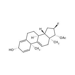 CC(=O)O[C@H]1[C@H](F)C[C@H]2[C@@H]3CCC4=C[C@@H](O)C=C[C@]4(C)C3=CC[C@@]21C